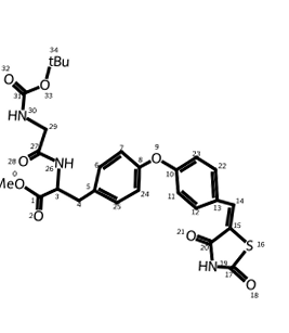 COC(=O)C(Cc1ccc(Oc2ccc(C=C3SC(=O)NC3=O)cc2)cc1)NC(=O)CNC(=O)OC(C)(C)C